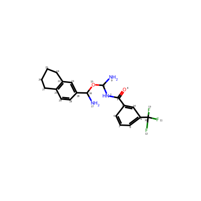 NC(NC(=O)c1cccc(C(F)(F)F)c1)OC(N)c1ccc2c(c1)CCCC2